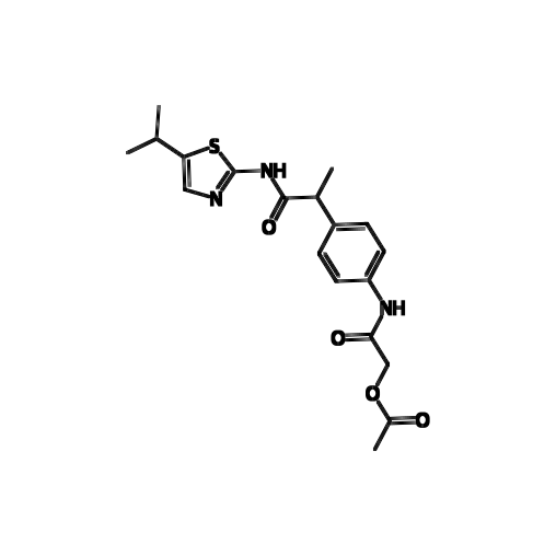 CC(=O)OCC(=O)Nc1ccc(C(C)C(=O)Nc2ncc(C(C)C)s2)cc1